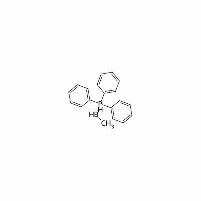 CB[PH](c1ccccc1)(c1ccccc1)c1ccccc1